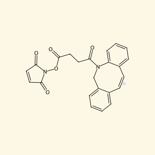 O=C(CCC(=O)N1Cc2ccccc2/C=C\c2ccccc21)ON1C(=O)C=CC1=O